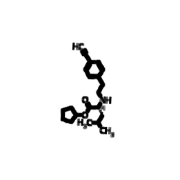 C#Cc1ccc(CCN[C@H](CC(C)C)C(=O)OC2CCCC2)cc1